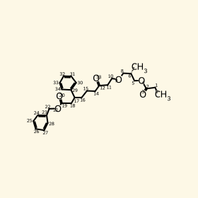 CCC(=O)OC[C@@H](C)COCCC(=O)CCCC(CC(=O)OCc1ccccc1)c1ccccc1